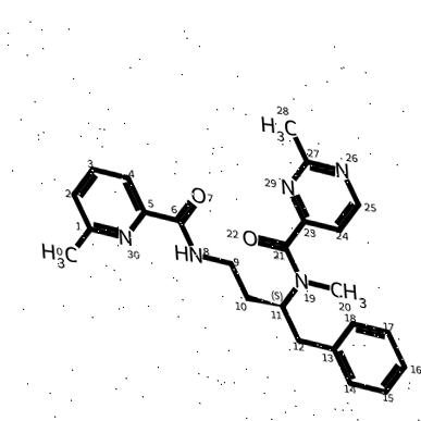 Cc1cccc(C(=O)NCC[C@H](Cc2ccccc2)N(C)C(=O)c2ccnc(C)n2)n1